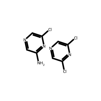 Clc1cncc(Cl)n1.Nc1cncc(Cl)n1